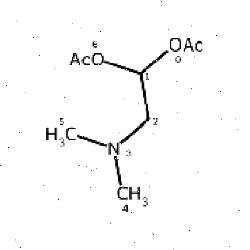 CC(=O)OC(CN(C)C)OC(C)=O